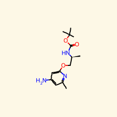 Cc1cc(N)cc(OC[C@H](C)NC(=O)OC(C)(C)C)n1